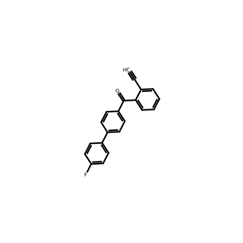 C#Cc1ccccc1C(=O)c1ccc(-c2ccc(F)cc2)cc1